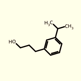 CC(C)c1cccc(CCCO)c1